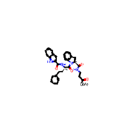 COC(=O)CCNC(=O)[C@@H]1Cc2ccccc2N1C(=O)[C@H](CCc1ccccc1)NC(=O)c1cc2ccccc2[nH]1